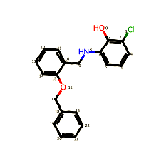 Oc1c(Cl)cccc1NCc1ccccc1OCc1ccccc1